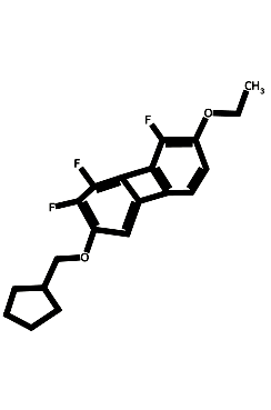 CCOc1ccc2c(c1F)-c1c-2cc(OCC2CCCC2)c(F)c1F